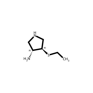 CCS[C@@H]1CNC[C@H]1N